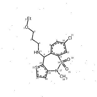 CCOCCCNC1c2ccc(Cl)cc2S(=O)(=O)N(C)c2ccsc21